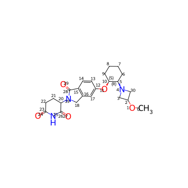 COC1CN([C@@H]2CCCC[C@@H]2Oc2ccc3c(c2)CN(C2CCC(=O)NC2=O)C3=O)C1